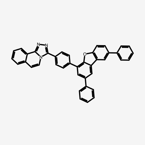 c1ccc(-c2ccc3oc4c(-c5ccc(-c6nnc7c8ccccc8ccn67)cc5)cc(-c5ccccc5)cc4c3c2)cc1